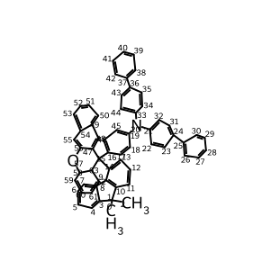 CC1(C)c2ccccc2-c2c1cccc2C1(c2ccc(N(c3ccc(-c4ccccc4)cc3)c3ccc(-c4ccccc4)cc3)cc2)c2cc3ccccc3cc2OC2C=CC=CC21